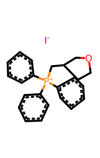 [I-].c1ccc([P+](CC2CCOC2)(c2ccccc2)c2ccccc2)cc1